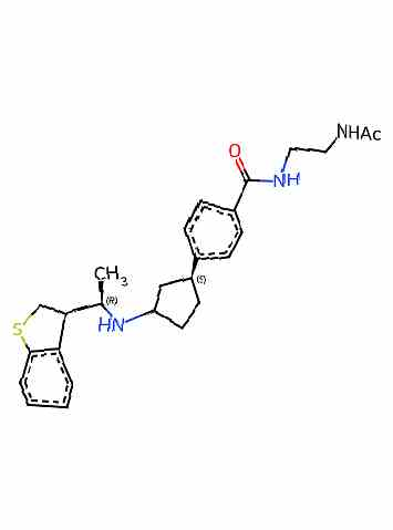 CC(=O)NCCNC(=O)c1ccc([C@H]2CCC(N[C@H](C)C3CSc4ccccc43)C2)cc1